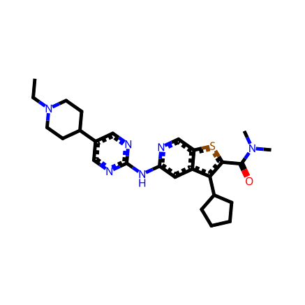 CCN1CCC(c2cnc(Nc3cc4c(C5CCCC5)c(C(=O)N(C)C)sc4cn3)nc2)CC1